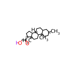 C[C@H]1CC[C@@]2(C)C(CC[C@@H]3C2CC[C@@]2(C)C3CC[C@@H]2C(=O)COI)C1